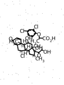 CC(Oc1ccc(Cl)cc1Cl)C(=O)O.C[C@@H]1C[C@H]2[C@H]3[C@H]([C@@H](O)C[C@]2(C)[C@@]1(O)C(=O)CO)[C@@]1(C)C=CC(=O)C=C1C[C@H]3Cl